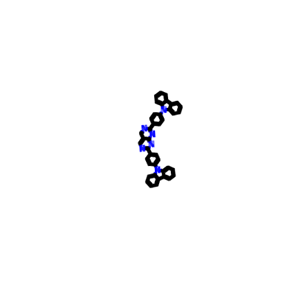 c1ccc2c(c1)c1ccccc1n2-c1ccc(-c2ncc3cnc(-c4ccc(-n5c6ccccc6c6ccccc65)cc4)nc3n2)cc1